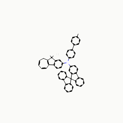 Cc1ccc(-c2ccc(N(c3ccc4c(c3)C(C)(C)C3=C4C=CC=CC3)c3ccc4c(c3)C3(c5ccccc5-c5ccccc53)c3ccccc3-4)cc2)cc1